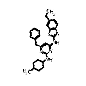 CCc1ccc2nc(Nc3cc(Cc4ccccc4)nc(NC4CCC(C)CC4)n3)sc2c1